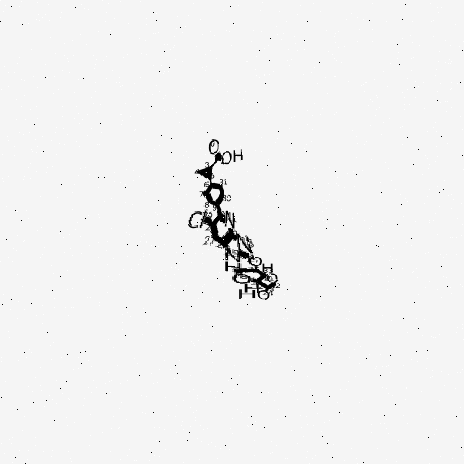 O=C(O)[C@@H]1C[C@H]1c1ccc(-c2nc3nc(O[C@@H]4CO[C@H]5[C@@H]4OC[C@H]5O)[nH]c3cc2Cl)cc1